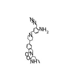 C=CCCC(C(=O)NC)N1Cc2cc(C3CCN(Cc4ccc(N)c(CN5CN(C)C5)c4)CC3)ccc2C1=O